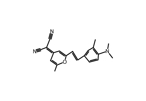 CC1=CC(=C(C#N)C#N)C=C(/C=C/c2ccc(N(C)C)c(C)c2)O1